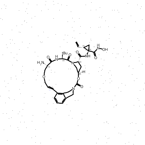 C=C[C@@H]1C[C@]1(NC(=O)[C@@H]1C[C@@H]2CN1C(=O)[C@H](C(C)(C)C)NC(=O)[C@@H](N)COC/C=C/c1cccc3c1CN(C3)C(=O)O2)C(=O)NO